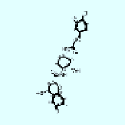 O=C(COc1ccc(Cl)c(F)c1)N[C@H]1CC[C@@H](NC(=O)[C@H]2C[C@@H](O)c3cc(Cl)ccc3O2)[C@@H](O)C1